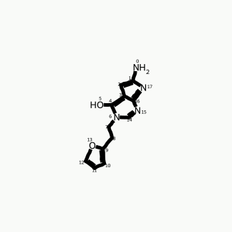 Nc1cc2c(O)n(CCc3ccco3)cnc-2n1